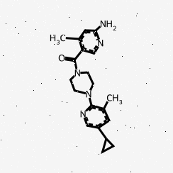 Cc1cc(N)ncc1C(=O)N1CCN(c2ncc(C3CC3)cc2C)CC1